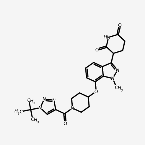 Cn1nc(C2CCC(=O)NC2=O)c2cccc(OC3CCN(C(=O)c4cn(C(C)(C)C)nn4)CC3)c21